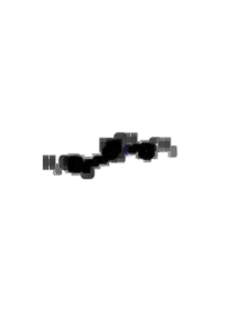 Cc1cccc(CC/C=C/[C@@H]2[C@H]3CC(CCCCC(=O)N4CCN(C)CC4)=C[C@H]3C[C@H]2O)c1